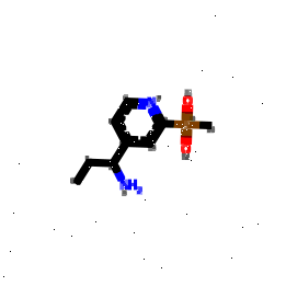 CCC(N)c1ccnc(S(C)(=O)=O)c1